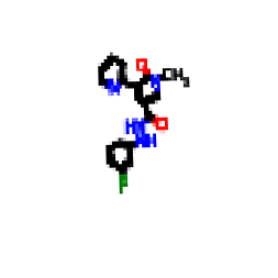 Cn1cc(C(=O)NNc2cccc(F)c2)cc(-c2ccccn2)c1=O